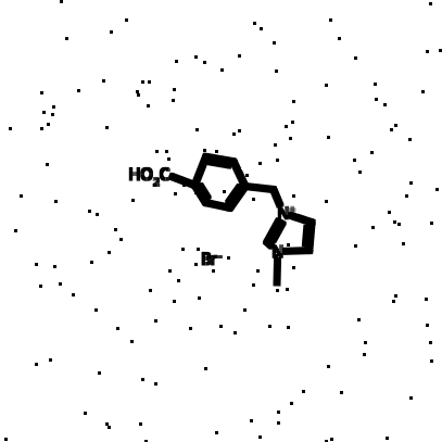 Cn1cc[n+](Cc2ccc(C(=O)O)cc2)c1.[Br-]